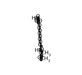 Cc1ccccc1C(=O)N1CCc2cc(-c3nc(NC(=O)Cc4cccc(OCCOCCOCCOCCOCCOCCOCCOc5ccc6c(c5)C(=O)N(C5CCC(=O)NC5=O)C6=O)c4)sc3C)ccc21